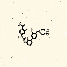 Cc1cc(Nc2nc3cccc(-c4ccc(CN5CCS(=O)(=O)CC5)c(F)c4)c3o2)ccc1C(=O)N(C)C